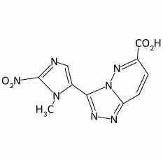 Cn1c(-c2nnc3ccc(C(=O)O)nn23)cnc1[N+](=O)[O-]